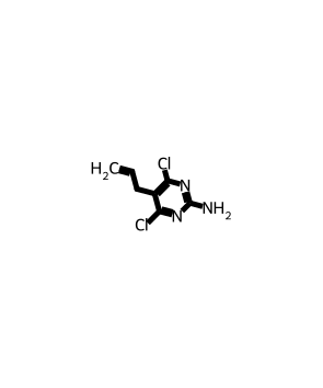 C=CCc1c(Cl)nc(N)nc1Cl